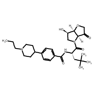 CCCN1CCC(c2ccc(C(=O)N[C@@H](CC(C)(C)C)C(=O)N3C[C@@H](O)[C@H]4OCC(=O)[C@H]43)cc2)CC1